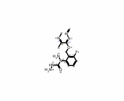 C=N/N=C(OCc1c(F)cccc1N(N)C(=O)NN)\C(C)=N/C